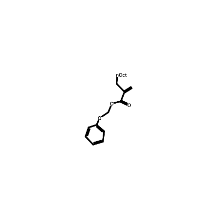 C=C(CCCCCCCCC)C(=O)OCOc1ccccc1